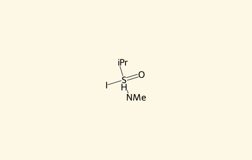 CN[SH](=O)(I)C(C)C